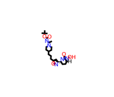 C/C(=N\C(=O)OC(C)(C)C)N1CCC(CCCc2cc([C@@H]3CC[C@@H]4CN3C(=O)N4O)no2)CC1